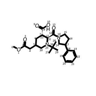 COC(=O)CC1C[C@H](C(=O)O)[C@@H](C(=O)N2CCC(c3ccccc3)C2)N(C(C)(C)C)C1